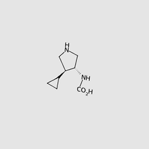 O=C(O)N[C@H]1CNC[C@@H]1C1CC1